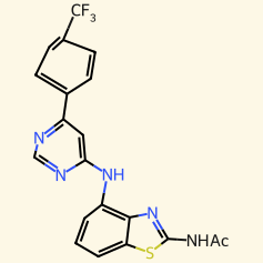 CC(=O)Nc1nc2c(Nc3cc(-c4ccc(C(F)(F)F)cc4)ncn3)cccc2s1